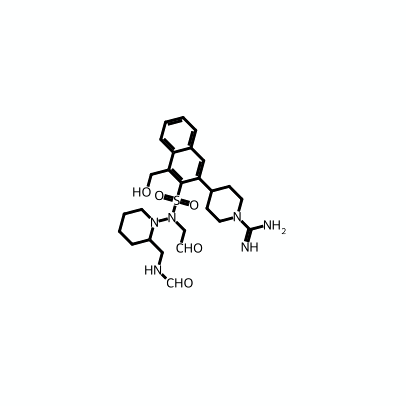 N=C(N)N1CCC(c2cc3ccccc3c(CO)c2S(=O)(=O)N(CC=O)N2CCCCC2CNC=O)CC1